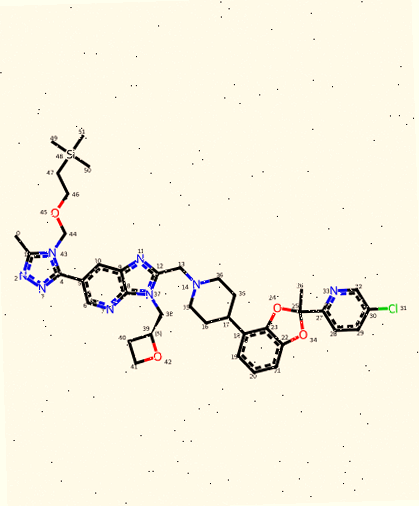 Cc1nnc(-c2cnc3c(c2)nc(CN2CCC(c4cccc5c4OC(C)(c4ccc(Cl)cn4)O5)CC2)n3C[C@@H]2CCO2)n1COCC[Si](C)(C)C